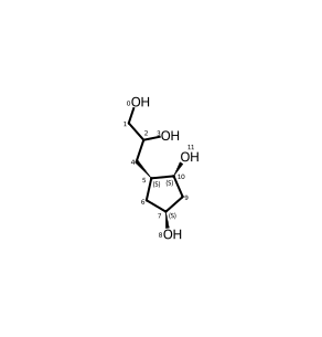 OCC(O)C[C@@H]1C[C@H](O)C[C@@H]1O